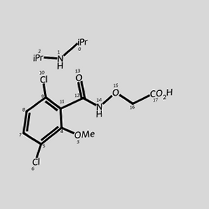 CC(C)NC(C)C.COc1c(Cl)ccc(Cl)c1C(=O)NOCC(=O)O